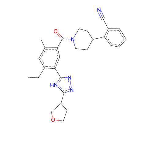 CCc1cc(C)c(C(=O)N2CCC(c3ccccc3C#N)CC2)cc1-c1nnc(C2CCOC2)[nH]1